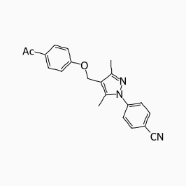 CC(=O)c1ccc(OCc2c(C)nn(-c3ccc(C#N)cc3)c2C)cc1